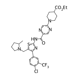 CCOC(=O)C1CCN(c2cnc(C(=O)Nc3nc(-c4ccc(Cl)c(C(F)(F)F)c4)c(CN4CCCC4C)s3)cn2)CC1